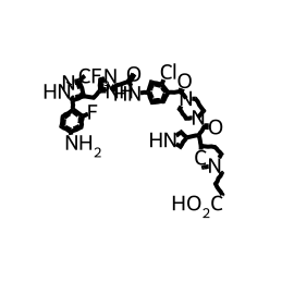 Nc1ccc(-c2[nH]nc(C(F)(F)F)c2Cc2cnc(C(=O)Nc3ccc(C(=O)N4CCN(C(=O)C(C5CCN(CCCC(=O)O)CC5)C5CNC5)CC4)c(Cl)c3)[nH]2)c(F)c1